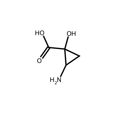 NC1CC1(O)C(=O)O